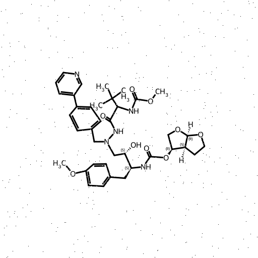 COC(=O)NC(C(=O)NN(Cc1ccc(-c2cccnc2)cc1)C[C@H](O)[C@H](Cc1ccc(OC)cc1)NC(=O)O[C@H]1CO[C@H]2OCC[C@H]21)C(C)(C)C